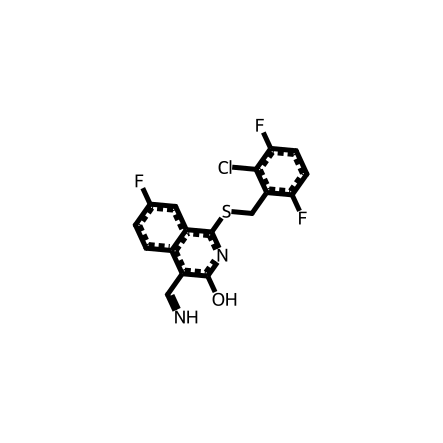 N=Cc1c(O)nc(SCc2c(F)ccc(F)c2Cl)c2cc(F)ccc12